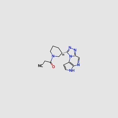 N#CCC(=O)N1CCC[C@H](c2nnc3cnc4[nH]ccc4n23)C1